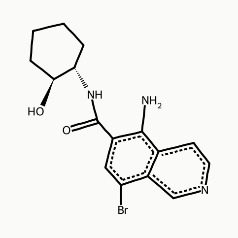 Nc1c(C(=O)N[C@H]2CCCC[C@@H]2O)cc(Br)c2cnccc12